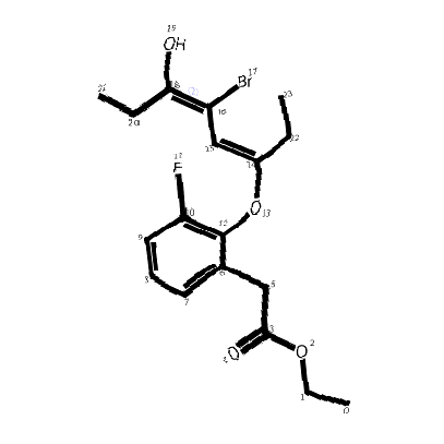 CCOC(=O)Cc1cccc(F)c1OC(=C/C(Br)=C(/O)CC)CC